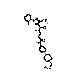 CC(=O)OC[C@H]1CC[C@H](c2ccc(NC(=O)CCNC(=O)c3cn(-c4ccccc4C)nc3C(F)(F)F)cc2)CC1